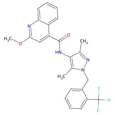 COc1cc(C(=O)Nc2c(C)nn(Cc3ccccc3C(F)(F)F)c2C)c2ccccc2n1